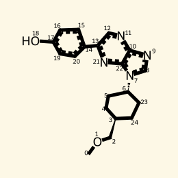 COC[C@H]1CC[C@H](n2cnc3ncc(-c4ccc(O)cc4)nc32)CC1